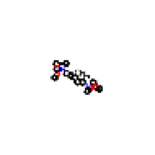 CC1(C)c2cc3cc(N(c4ccccc4-c4ccccc4)c4cccc5c4oc4ccccc45)ccc3cc2-c2ccc3cc(N(c4ccccc4-c4ccccc4)c4cccc5c4oc4ccccc45)ccc3c21